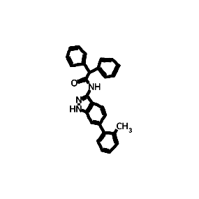 Cc1ccccc1-c1ccc2c(NC(=O)C(c3ccccc3)c3ccccc3)n[nH]c2c1